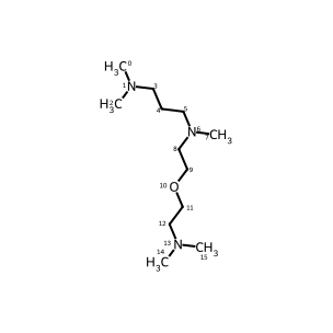 CN(C)CCCN(C)CCOCCN(C)C